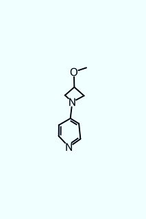 COC1CN(c2ccncc2)C1